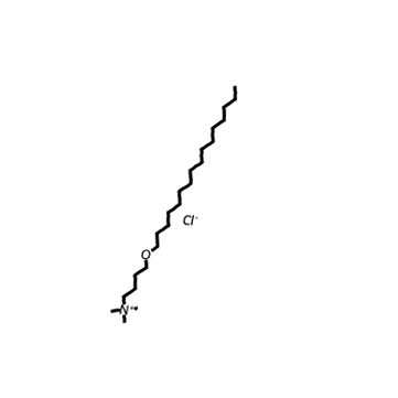 CCCCCCCCCCCCCCCCOCCCC[N+](C)(C)C.[Cl-]